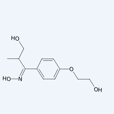 CC(CO)C(=NO)c1ccc(OCCO)cc1